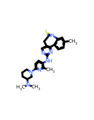 Cc1ccc2c(c1)NC(=S)Cc1cnc(Nc3ccc(N4CCCC(N(C)C)C4)nc3C)nc1-2